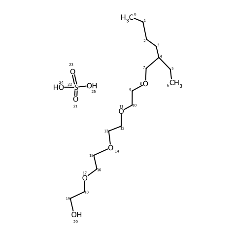 CCCCC(CC)COCCOCCOCCOCCO.O=S(=O)(O)O